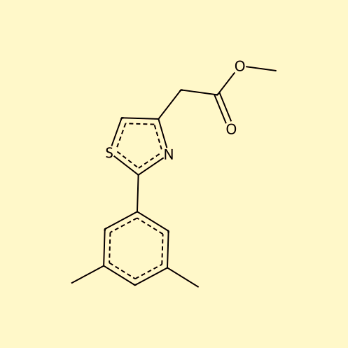 COC(=O)Cc1csc(-c2cc(C)cc(C)c2)n1